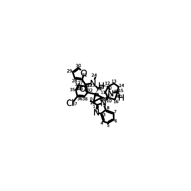 Cc1nc2ccccc2n1C1C[C@H]2CC[C@@H](C1)N2C[C@@H]1C[C@@]1(CN(C)C(=O)c1ccco1)c1cccc(Cl)c1